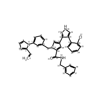 C=Cc1nccn1-c1cccc(Cn2cc(-c3n[nH]cc3-c3ccccc3Cl)cc2C(=O)NCc2ccccc2)c1